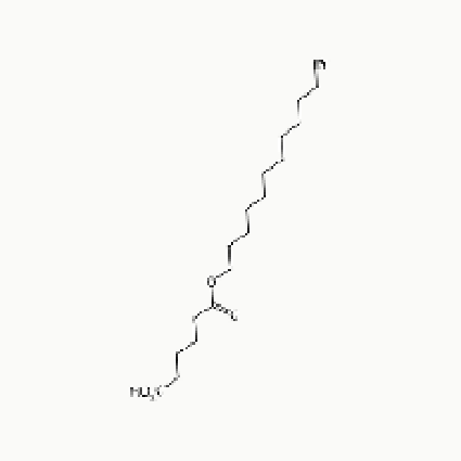 CC(C)CCCCCCCCCCCOC(=O)CCCCC(=O)O